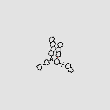 CC(C)(c1ccc(N(c2ccc(-c3ccccc3)cc2)c2ccc3c(c2)C2(c4ccccc4-c4ccccc42)c2cc4ccccc4cc2-3)cc1)c1ccc2ccccc2c1